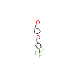 O=Cc1ccc(OCc2ccc(C(F)(F)F)cc2)cc1